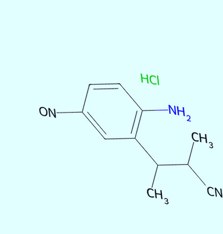 CC(C#N)C(C)c1cc(N=O)ccc1N.Cl